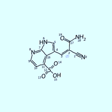 N#C/C(=C/c1c[nH]c2nccc(S(=O)(=O)O)c12)C(N)=O